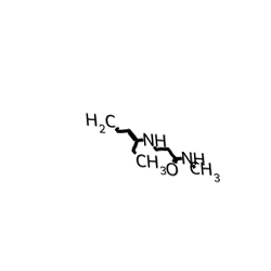 C=C/C=C(\CC)NCCC(=O)NC